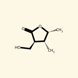 C[C@H]1[C@@H](C)OC(=O)[C@@H]1CO